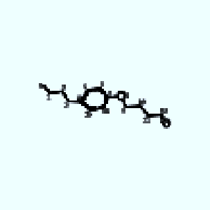 CCCCc1ccc(OCCCC=O)cc1